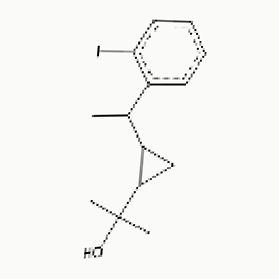 CC(c1ccccc1I)C1CC1C(C)(C)O